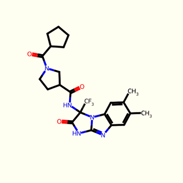 Cc1cc2nc3n(c2cc1C)C(NC(=O)C1CCN(C(=O)C2CCCC2)C1)(C(F)(F)F)C(=O)N3